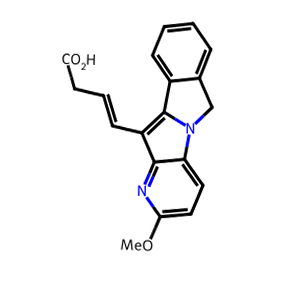 COc1ccc2c(n1)c(C=CCC(=O)O)c1n2Cc2ccccc2-1